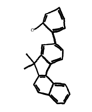 CC1(C)c2cc(-c3ccccc3Cl)ccc2-c2c1ccc1ccccc21